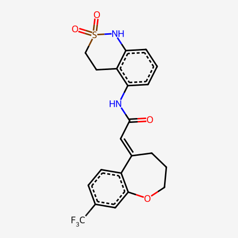 O=C(C=C1CCCOc2cc(C(F)(F)F)ccc21)Nc1cccc2c1CCS(=O)(=O)N2